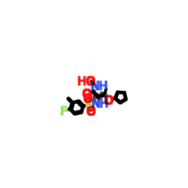 Cc1cc(S(=O)(=O)N[C@@H](C(=O)NO)[C@@H](C)OC2CCCC2)ccc1F